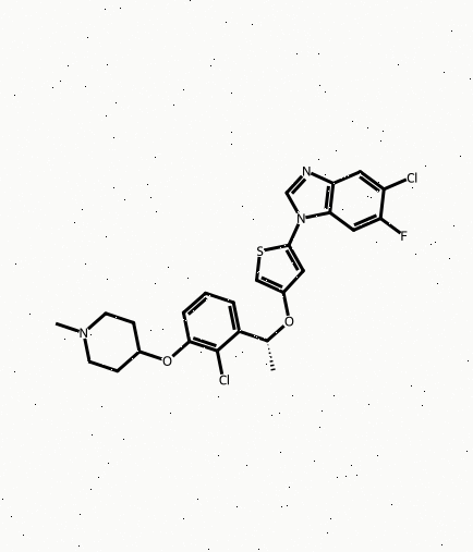 C[C@@H](Oc1csc(-n2cnc3cc(Cl)c(F)cc32)c1)c1cccc(OC2CCN(C)CC2)c1Cl